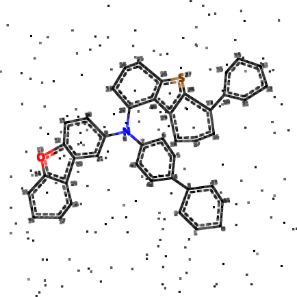 c1ccc(-c2ccc(N(c3ccc4oc5ccccc5c4c3)c3cccc4sc5c(-c6ccccc6)cccc5c34)cc2)cc1